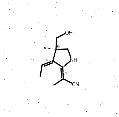 C/C=C1\C(=C(/C)C#N)NC[C@]1(C)CO